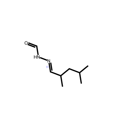 CC(C)CC(C)/C=N/NC=O